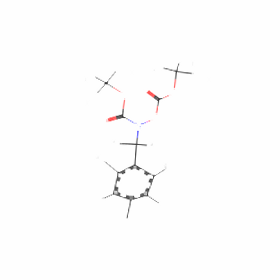 [2H]c1c([2H])c([2H])c(C([2H])([2H])N(OC(=O)OC(C)(C)C)C(=O)OC(C)(C)C)c([2H])c1[2H]